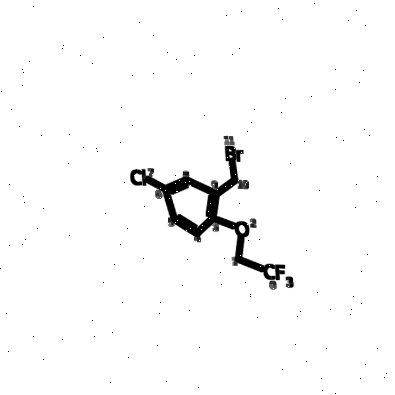 FC(F)(F)COc1ccc(Cl)cc1CBr